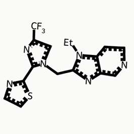 CCn1c(Cn2cc(C(F)(F)F)nc2-c2nccs2)nc2cnccc21